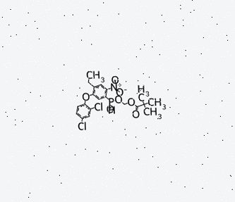 CCc1cc([N+](=O)[O-])c([PH](=O)OCOC(=O)C(C)(C)C)cc1Oc1ccc(Cl)cc1Cl